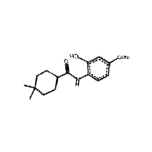 COc1ccc(NC(=O)C2CCC(C)(C)CC2)c(O)c1